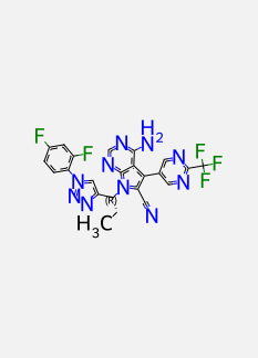 CC[C@H](c1cn(-c2ccc(F)cc2F)nn1)n1c(C#N)c(-c2cnc(C(F)(F)F)nc2)c2c(N)ncnc21